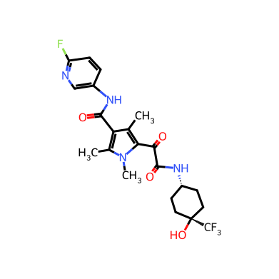 Cc1c(C(=O)Nc2ccc(F)nc2)c(C)n(C)c1C(=O)C(=O)N[C@H]1CC[C@](O)(C(F)(F)F)CC1